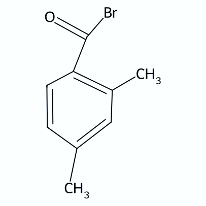 Cc1ccc(C(=O)Br)c(C)c1